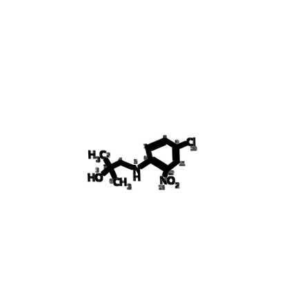 CC(C)(O)CNc1ccc(Cl)cc1[N+](=O)[O-]